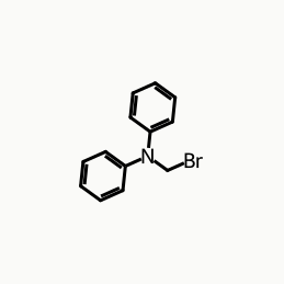 BrCN(c1ccccc1)c1ccccc1